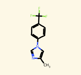 Cc1cn(-c2ccc(C(F)(F)F)cc2)cn1